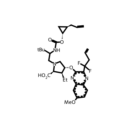 C=CC[C@@H]1C[C@H]1OC(=O)NC(CN1C[C@H](Oc2nc3cc(OC)ccc3nc2C(F)(F)CC=C)[C@@H](CC)[C@H]1C(=O)O)C(C)(C)C